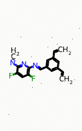 C=Cc1cc(C=C)cc(C=Nc2nc(N=C)c(F)cc2F)c1